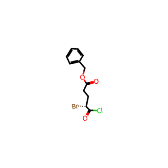 O=C(CC[C@@H](Br)C(=O)Cl)OCc1ccccc1